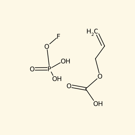 C=CCOC(=O)O.O=P(O)(O)OF